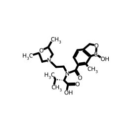 Cc1c(C(=O)N(CCN2CC(C)OC(C)C2)[C@H](C(=O)O)C(C)C)ccc2c1B(O)OC2